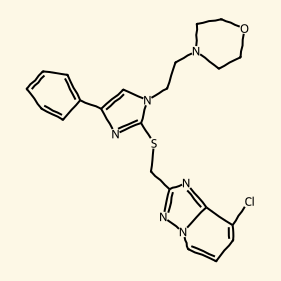 Clc1cccn2nc(CSc3nc(-c4ccccc4)cn3CCN3CCOCC3)nc12